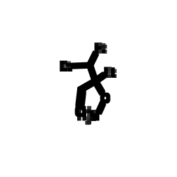 C=CC(CC)(O[SiH3])C(CC)CC